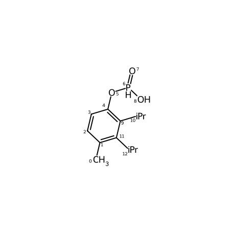 Cc1ccc(O[PH](=O)O)c(C(C)C)c1C(C)C